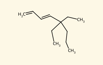 C=CC=CC(CC)(CC)CCC